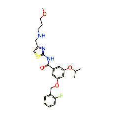 COCCCNCc1csc(NC(=O)c2cc(OCc3ccccc3F)cc(OC(C)C)c2)n1